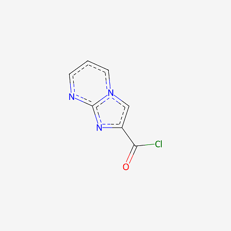 O=C(Cl)c1cn2cccnc2n1